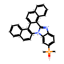 CP(C)(=O)c1ccc2nc3c4c5ccccc5ccc4c4c5ccccc5ccc4n3c2c1